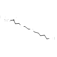 CCCCCCOCCOCCC(=O)NC